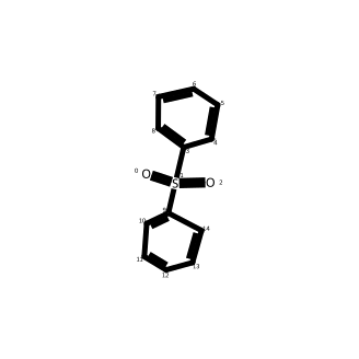 O=S(=O)(c1[c]cccc1)c1cc[c]cc1